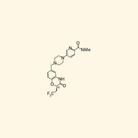 CNC(=O)c1ccc(N2CCN(Cc3ccc4c(c3)NC(=O)[C@@H](CC(F)(F)F)O4)CC2)cn1